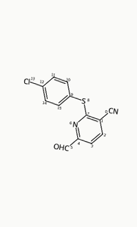 N#Cc1ccc(C=O)nc1Sc1ccc(Cl)cc1